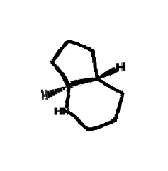 C1CN[C@H]2CCC[C@@H]2C1